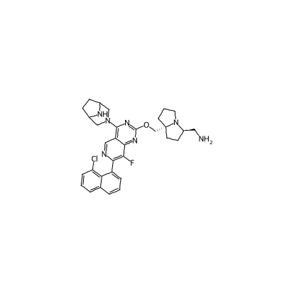 NC[C@H]1CC[C@@]2(COc3nc(N4CC5CCC(C4)N5)c4cnc(-c5cccc6cccc(Cl)c56)c(F)c4n3)CCCN12